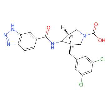 O=C(NC1[C@@H]2CN(C(=O)O)C[C@]12Cc1cc(Cl)cc(Cl)c1)c1ccc2nn[nH]c2c1